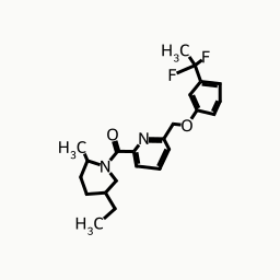 CCC1CCC(C)N(C(=O)c2cccc(COc3cccc(C(C)(F)F)c3)n2)C1